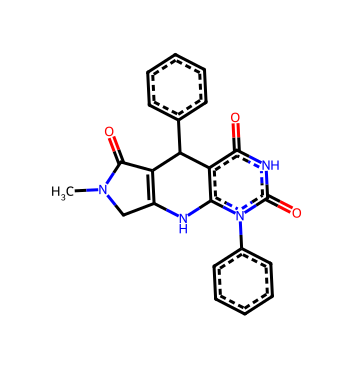 CN1CC2=C(C1=O)C(c1ccccc1)c1c(n(-c3ccccc3)c(=O)[nH]c1=O)N2